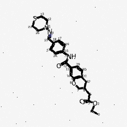 CCOC(=O)CC1COc2cc(C(=O)Nc3ccc(/C=N/N4CCSCC4)cc3)ccc2C1